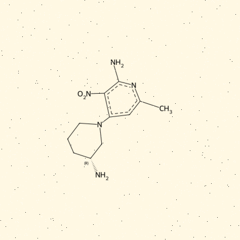 Cc1cc(N2CCC[C@@H](N)C2)c([N+](=O)[O-])c(N)n1